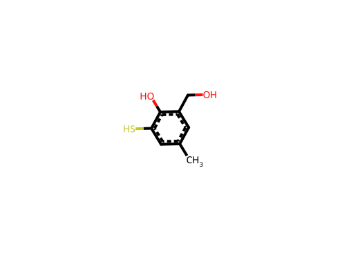 Cc1cc(S)c(O)c(CO)c1